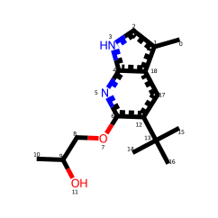 Cc1c[nH]c2nc(OCC(C)O)c(C(C)(C)C)cc12